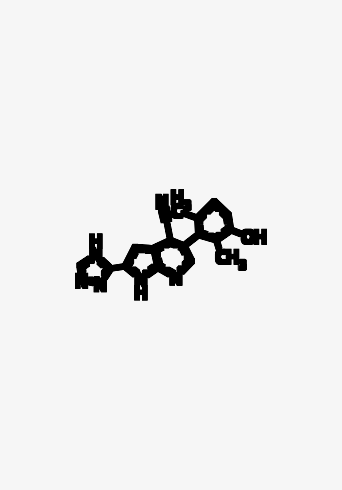 Cc1ccc(O)c(C)c1-c1cnc2[nH]c(-c3nnc[nH]3)cc2c1C#N